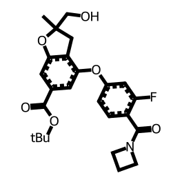 CC(C)(C)OC(=O)c1cc(Oc2ccc(C(=O)N3CCC3)c(F)c2)c2c(c1)OC(C)(CO)C2